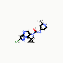 O=C(Nc1ccnc(C(F)(F)F)c1)N1CC2(CC2)c2c1cnc1cc(Cl)nn21